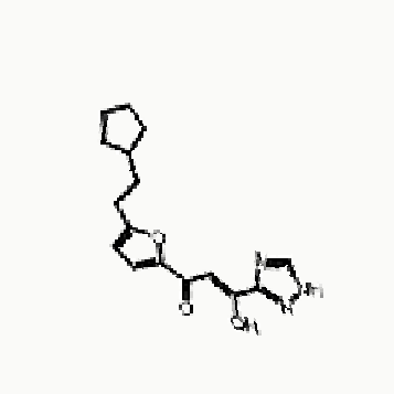 O=C(C=C(O)c1nc[nH]n1)c1ccc(CCC2CCCC2)o1